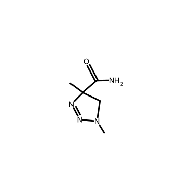 CN1CC(C)(C(N)=O)N=N1